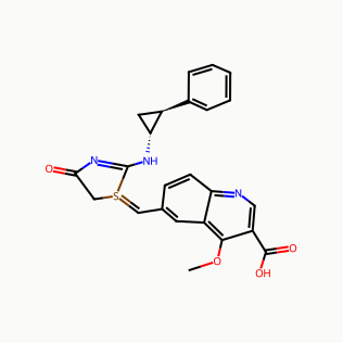 COc1c(C(=O)O)cnc2ccc(/C=S3/CC(=O)N=C3N[C@@H]3C[C@H]3c3ccccc3)cc12